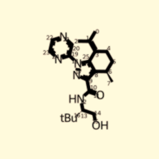 CC(C)=C1CC[C@@H](C)c2c(C(=O)N[C@H](CO)C(C)(C)C)nn(-c3cnccn3)c21